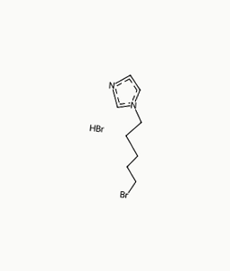 Br.BrCCCCCn1ccnc1